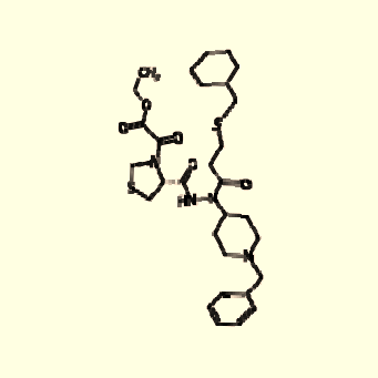 CCOC(=O)C(=O)N1CSC[C@H]1C(=O)NN(C(=O)CCSCC1CCCCC1)C1CCN(Cc2ccccc2)CC1